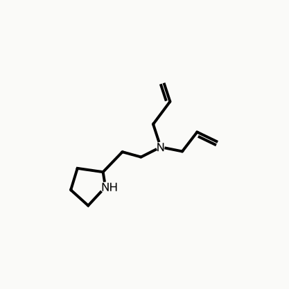 C=CCN(CC=C)CCC1CCCN1